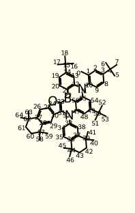 Cc1cc(C(C)(C)C)ccc1N1c2cc(C(C)(C)C)ccc2B2c3oc4cc5c(cc4c3N(c3ccc4c(c3)C(C)(C)CCC4(C)C)c3cc(C(C)(C)C)cc1c32)C(C)(C)CCC5(C)C